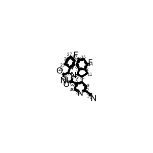 N#Cc1ccc(C(=O)N([C@@H]2CCc3c(F)cc(F)cc32)[C@@H](C(N)=O)c2ccccc2)cn1